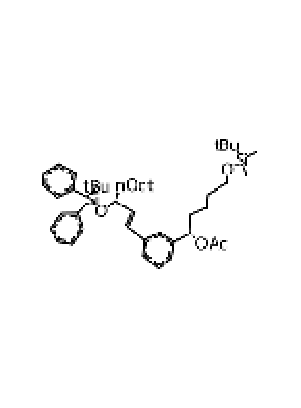 CCCCCCCC[C@@H](/C=C/c1cccc([C@H](CCCCO[Si](C)(C)C(C)(C)C)OC(C)=O)c1)O[Si](c1ccccc1)(c1ccccc1)C(C)(C)C